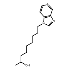 CC(O)CCCCCCCn1cnc2cnccc21